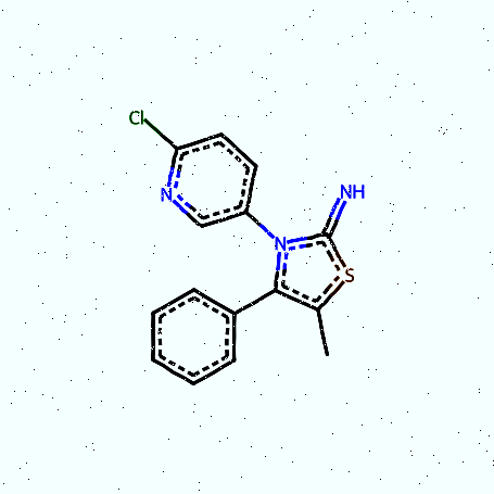 Cc1sc(=N)n(-c2ccc(Cl)nc2)c1-c1ccccc1